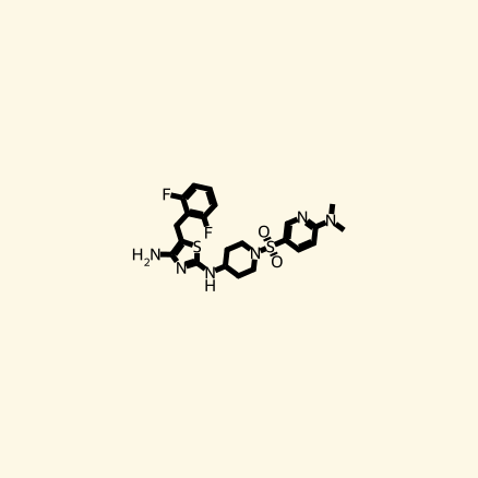 CN(C)c1ccc(S(=O)(=O)N2CCC(Nc3nc(N)c(Cc4c(F)cccc4F)s3)CC2)cn1